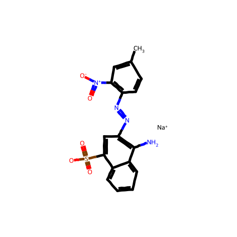 Cc1ccc(N=Nc2cc(S(=O)(=O)[O-])c3ccccc3c2N)c([N+](=O)[O-])c1.[Na+]